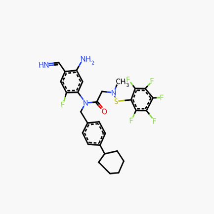 CN(CC(=O)N(Cc1ccc(C2CCCCC2)cc1)c1cc(N)c(C=N)cc1F)Sc1c(F)c(F)c(F)c(F)c1F